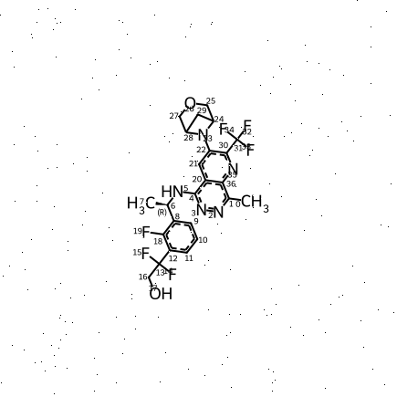 Cc1nnc(N[C@H](C)c2cccc(C(F)(F)CO)c2F)c2cc(N3C4COCC3C4)c(C(F)(F)F)nc12